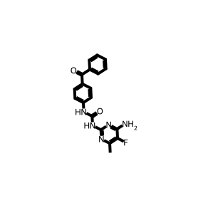 Cc1nc(NC(=O)Nc2ccc(C(=O)c3ccccc3)cc2)nc(N)c1F